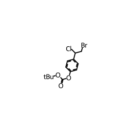 CC(C)(C)OC(=O)Oc1ccc(C(Cl)CBr)cc1